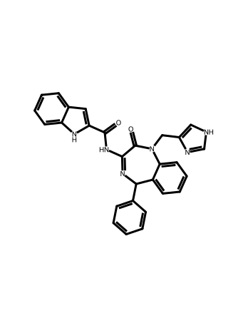 O=C(NC1=NC(c2ccccc2)c2ccccc2N(Cc2c[nH]cn2)C1=O)c1cc2ccccc2[nH]1